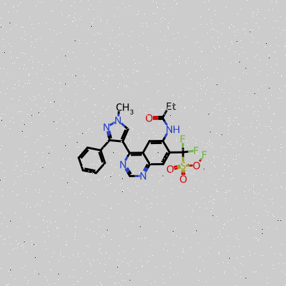 CCC(=O)Nc1cc2c(-c3cn(C)nc3-c3ccccc3)ncnc2cc1C(F)(F)S(=O)(=O)OF